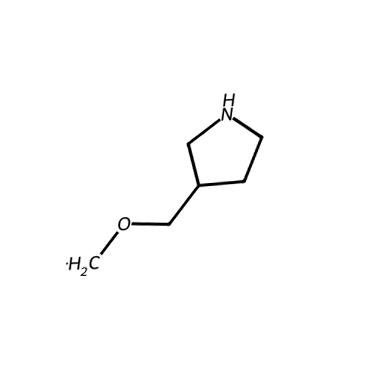 [CH2]OCC1CCNC1